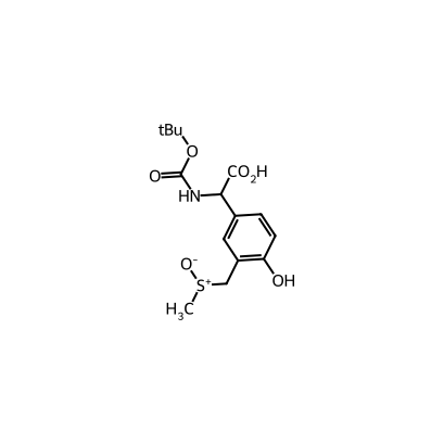 C[S+]([O-])Cc1cc(C(NC(=O)OC(C)(C)C)C(=O)O)ccc1O